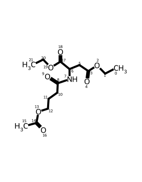 CCOC(=O)CC(NC(=O)CCCOC(C)=O)C(=O)OCC